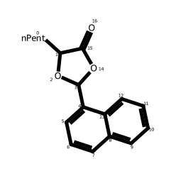 CCCCCC1OC(c2cccc3ccccc23)OC1=O